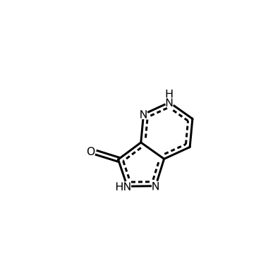 O=c1[nH]nc2cc[nH]nc1-2